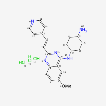 COc1ccc2nc(C=Cc3ccncc3)nc(NC3CCC(N)CC3)c2c1.Cl.Cl.Cl